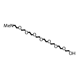 CNCCOCCOCCOCCOCCOCCOCCOCCO